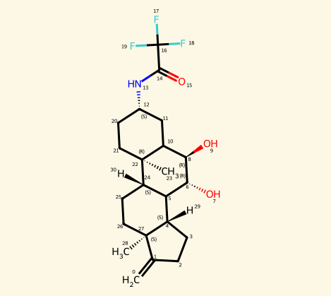 C=C1CC[C@H]2C3[C@@H](O)[C@H](O)C4C[C@@H](NC(=O)C(F)(F)F)CC[C@]4(C)[C@H]3CC[C@]12C